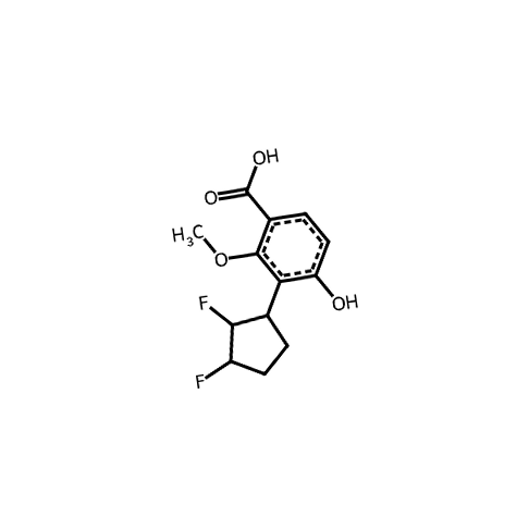 COc1c(C(=O)O)ccc(O)c1C1CCC(F)C1F